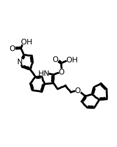 O=C(O)Oc1[nH]c2c(-c3ccc(C(=O)O)nc3)cccc2c1CCCOc1cccc2ccccc12